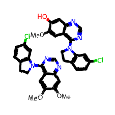 COc1cc2c(N3CCc4ccc(Cl)cc43)ncnc2cc1O.COc1cc2ncnc(N3CCc4ccc(Cl)cc43)c2cc1OC